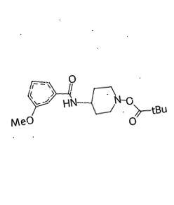 COc1cccc(C(=O)NC2CCN(OC(=O)C(C)(C)C)CC2)c1